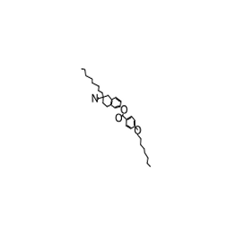 CCCCCCCCOc1ccc(C(=O)Oc2ccc3c(c2)CCC(C#N)(CCCCCCCC)C3)cc1